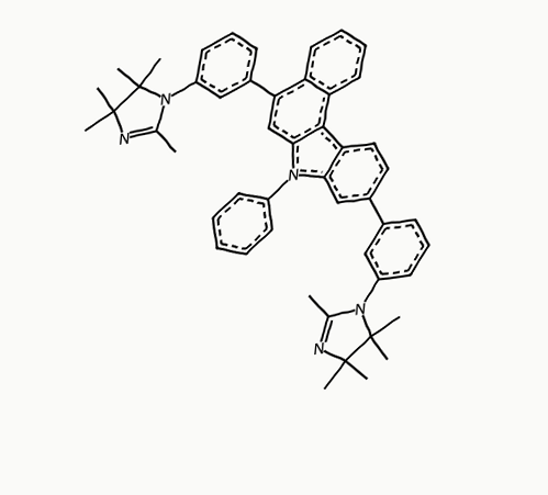 CC1=NC(C)(C)C(C)(C)N1c1cccc(-c2ccc3c4c5ccccc5c(-c5cccc(N6C(C)=NC(C)(C)C6(C)C)c5)cc4n(-c4ccccc4)c3c2)c1